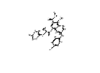 COC(=O)c1cc(NC(O)CC2=CCC(F)CC2)c2cc(Cc3ccc(F)cc3)cnc2c1O